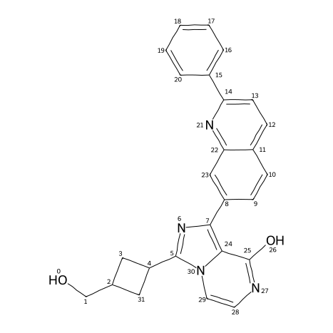 OCC1CC(c2nc(-c3ccc4ccc(-c5ccccc5)nc4c3)c3c(O)nccn23)C1